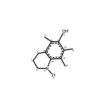 CCN1CCCc2c(C)c(O)c(C)c(C)c21